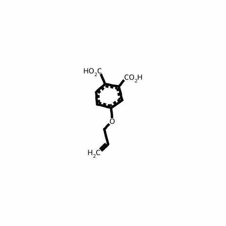 C=CCOc1ccc(C(=O)O)c(C(=O)O)c1